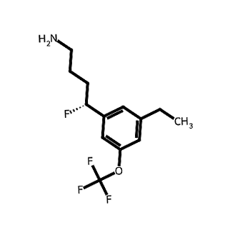 CCc1cc(OC(F)(F)F)cc([C@H](F)CCCN)c1